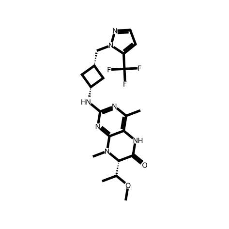 COC(C)[C@H]1C(=O)Nc2c(C)nc(N[C@H]3C[C@@H](Cn4nccc4C(F)(F)F)C3)nc2N1C